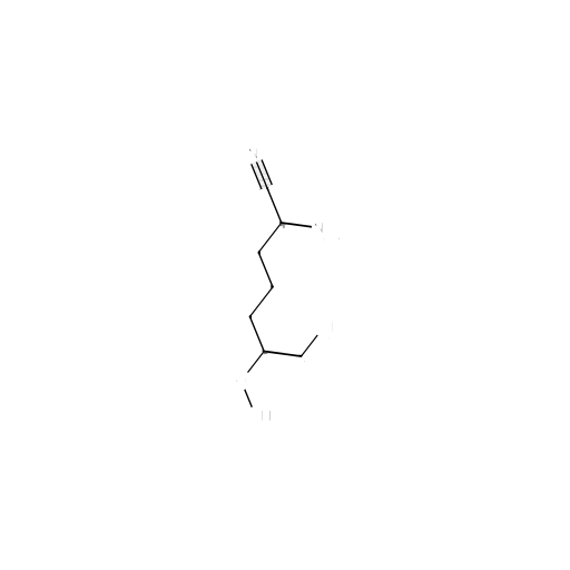 COC(CO)CCCC(N)C#N